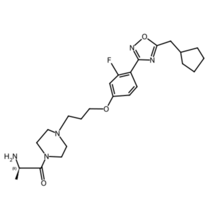 C[C@@H](N)C(=O)N1CCN(CCCOc2ccc(-c3noc(CC4CCCC4)n3)c(F)c2)CC1